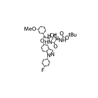 COc1cccc([C@@H](Oc2ccc3c(cnn3-c3ccc(F)cc3)c2)[C@H](C)NC(=O)[C@@H](C)NC(=O)OC(C)(C)C)c1